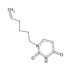 C=CCCCCn1ccc(=O)[nH]c1=O